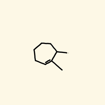 [CH2]C1CCCCC=C1C